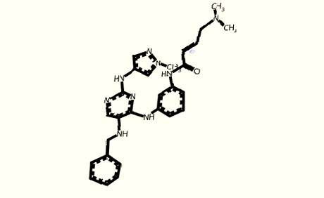 CN(C)C/C=C/C(=O)Nc1cccc(Nc2nc(Nc3cnn(C)c3)ncc2NCc2ccccc2)c1